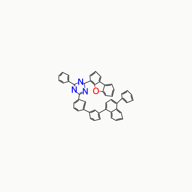 c1ccc(-c2nc(-c3cccc(-c4cccc(-c5ccc(-c6ccccc6)c6ccccc56)c4)c3)nc(-c3cccc4c3oc3ccccc34)n2)cc1